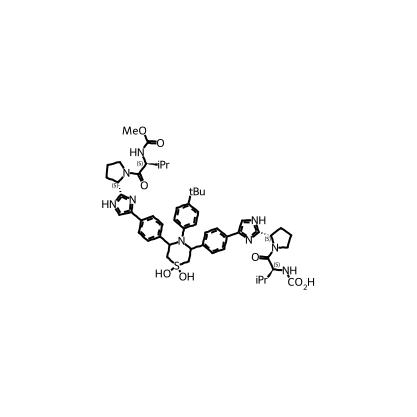 COC(=O)N[C@H](C(=O)N1CCC[C@H]1c1nc(-c2ccc(C3CS(O)(O)CC(c4ccc(-c5c[nH]c([C@@H]6CCCN6C(=O)[C@@H](NC(=O)O)C(C)C)n5)cc4)N3c3ccc(C(C)(C)C)cc3)cc2)c[nH]1)C(C)C